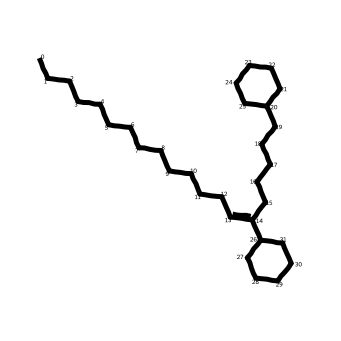 CCCCCCCCCCCCCC=C(CCCCCC1CCCCC1)C1CCCCC1